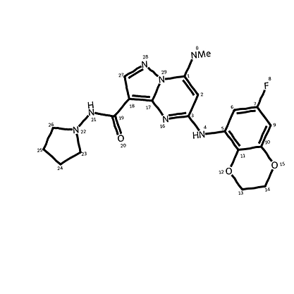 CNc1cc(Nc2cc(F)cc3c2OCCO3)nc2c(C(=O)NN3CCCC3)cnn12